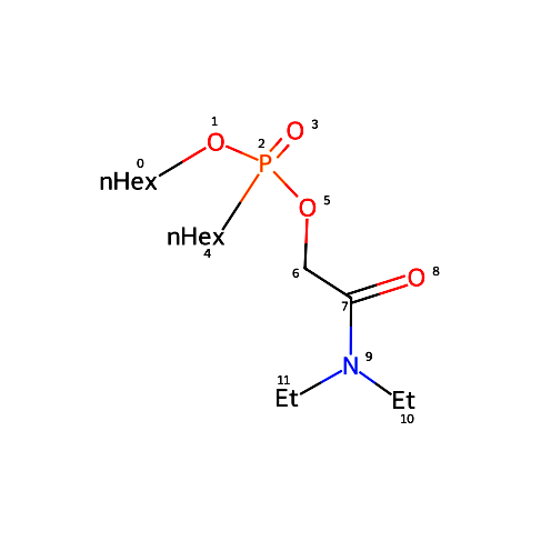 CCCCCCOP(=O)(CCCCCC)OCC(=O)N(CC)CC